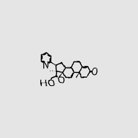 C[C@]12CCC(=O)C=C1CCC1C2=CC[C@@]2(C)C1C[C@H](c1ccccn1)[C@]2(C)C(=O)CO